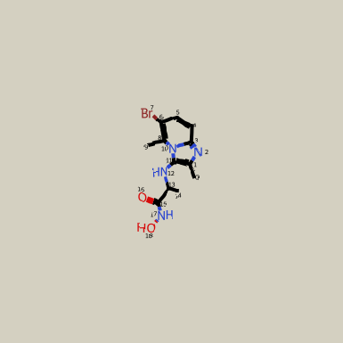 Cc1nc2ccc(Br)c(C)n2c1NC(C)C(=O)NO